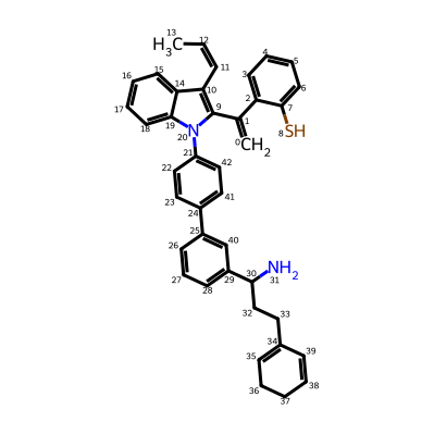 C=C(c1ccccc1S)c1c(/C=C\C)c2ccccc2n1-c1ccc(-c2cccc(C(N)CCC3=CCCC=C3)c2)cc1